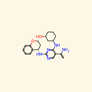 C=C(N)c1cnc(N[C@H]2CCOc3ccccc32)nc1N[C@@H]1CCC[C@H](O)C1